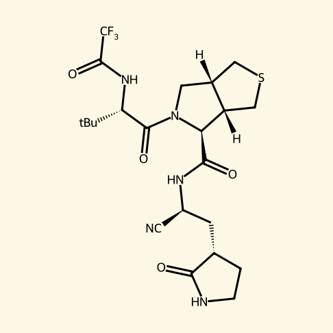 CC(C)(C)[C@H](NC(=O)C(F)(F)F)C(=O)N1C[C@@H]2CSC[C@@H]2[C@H]1C(=O)N[C@H](C#N)C[C@@H]1CCNC1=O